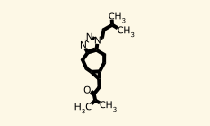 CC(C)CCn1nnc2c1CCC1C(CC2)C1CC(=O)C(C)C